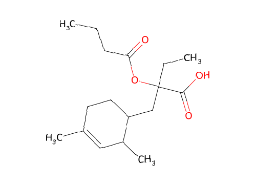 CCCC(=O)OC(CC)(CC1CCC(C)=CC1C)C(=O)O